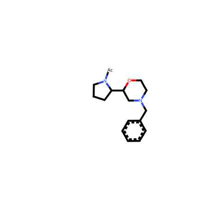 CC(=O)N1CCCC1C1CN(Cc2ccccc2)CCO1